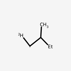 [2H][CH]C(C)C[CH2]